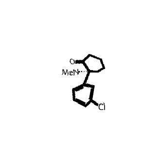 CN[C@@]1(c2cccc(Cl)c2)CCCCC1=O